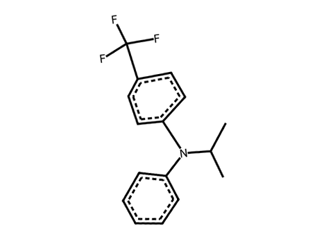 CC(C)N(c1ccccc1)c1ccc(C(F)(F)F)cc1